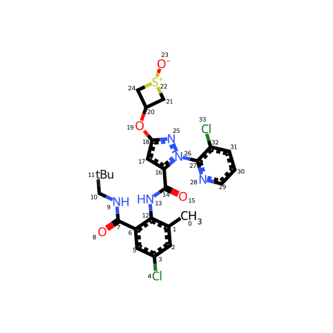 Cc1cc(Cl)cc(C(=O)NCC(C)(C)C)c1NC(=O)c1cc(OC2C[S+]([O-])C2)nn1-c1ncccc1Cl